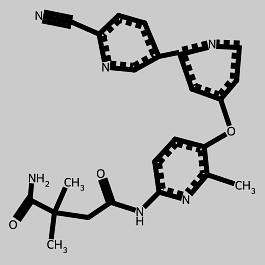 Cc1nc(NC(=O)CC(C)(C)C(N)=O)ccc1Oc1ccnc(-c2ccc(C#N)nc2)c1